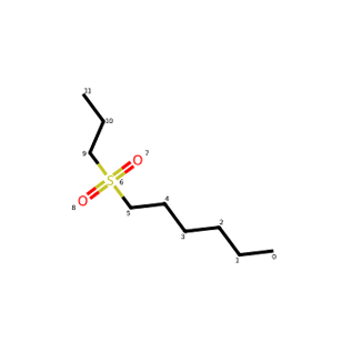 CCCCCCS(=O)(=O)CCC